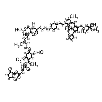 CC1=CC(/C=C/c2ccc(OCCCC(=O)NC(CS(=O)(=O)O)C(=O)NCCN(C)CCOc3cc([N+](=O)[O-])c(C(C)OC(=O)NCC(=O)ON4C(=O)CCC4=O)cc3C=O)cc2)=[N+]2C1=Cc1c(CCC[N+](C)(C)C)cc(-c3cccs3)n1[B-]2(F)F